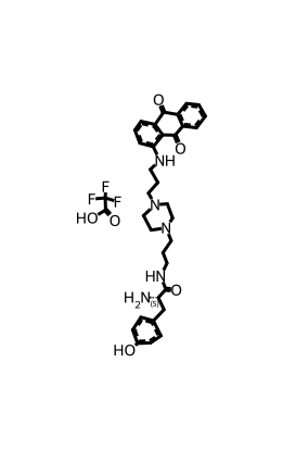 N[C@@H](Cc1ccc(O)cc1)C(=O)NCCCN1CCN(CCCNc2cccc3c2C(=O)c2ccccc2C3=O)CC1.O=C(O)C(F)(F)F